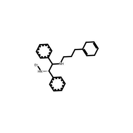 CCN[C@@H](c1ccccc1)C(NCCCC1=CCC=CC1)c1ccccc1